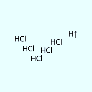 Cl.Cl.Cl.Cl.Cl.[Hf]